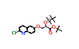 CC(C)(C)OC(=O)[C@@H](COc1ccc2nc(Cl)ccc2c1)O[Si](C)(C)C(C)(C)C